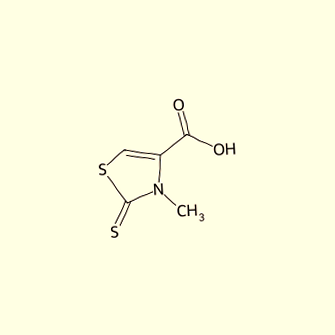 Cn1c(C(=O)O)csc1=S